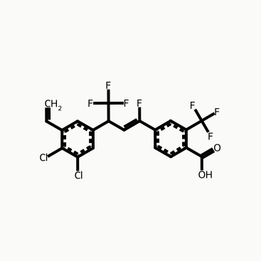 C=Cc1cc(C(/C=C(\F)c2ccc(C(=O)O)c(C(F)(F)F)c2)C(F)(F)F)cc(Cl)c1Cl